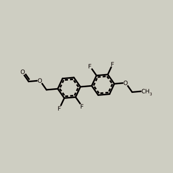 CCOc1ccc(-c2ccc(COC=O)c(F)c2F)c(F)c1F